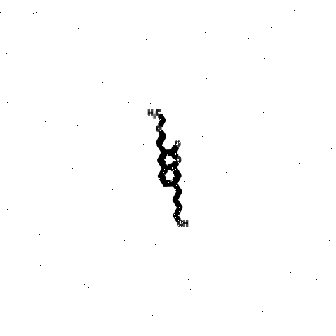 CCOC=Cc1cc2ccc(CCCCO)cc2oc1=O